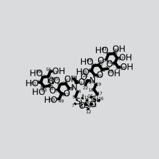 CC(=O)N(CC[Si](C)(C)O[Si](C)(C)O[Si](C)(C)CCCN(C(C)=O)[C@H]1OC(CO)[C@H](O[C@H]2OC(CO)[C@H](O)C(O)[C@H]2O)C(O)C1O)[C@@H]1OC(CO)[C@@H](O[C@@H]2OC(CO)[C@@H](O)C(O)[C@@H]2O)C(O)C1O